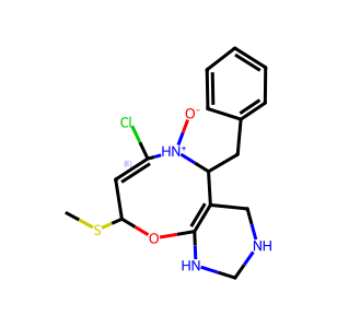 CSC1/C=C(/Cl)[NH+]([O-])C(Cc2ccccc2)C2=C(NCNC2)O1